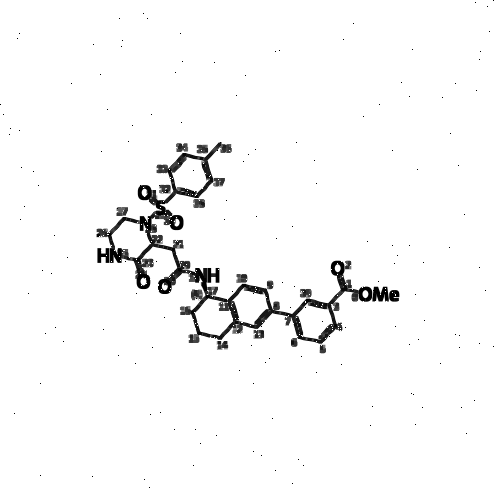 COC(=O)c1cccc(-c2ccc3c(c2)CCC[C@H]3NC(=O)CC2C(=O)NCCN2S(=O)(=O)c2ccc(C)cc2)c1